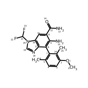 COc1ccc(C)c(-c2c(N)c(C(N)=O)cc3c2ncn3C(F)F)c1C